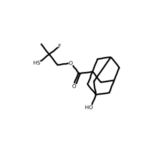 CC(F)(S)COC(=O)C12CC3CC(CC(O)(C3)C1)C2